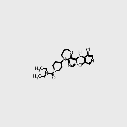 CCN(CC)C(=O)N1CCC(N2CCCOc3c(Nc4c(Cl)cncc4Cl)ncnc32)CC1